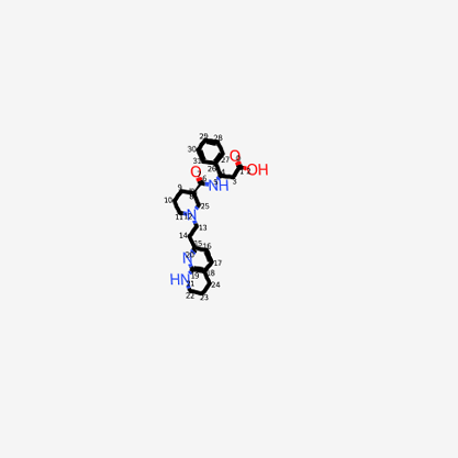 O=C(O)CC(NC(=O)[C@@H]1CCCN(CCc2ccc3c(n2)NCCC3)C1)c1ccccc1